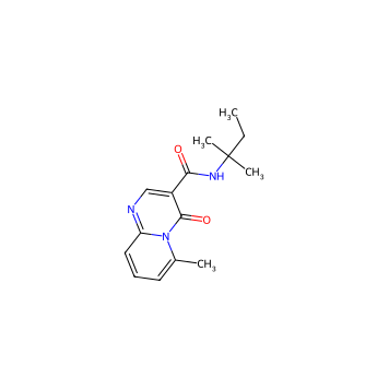 CCC(C)(C)NC(=O)c1cnc2cccc(C)n2c1=O